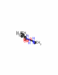 Cc1ccnc(NCCCC(=O)NCC(=O)NC(CC(=O)O)c2ccc(-c3ccc(C(C)(C)C)c4ccccc34)cc2)c1